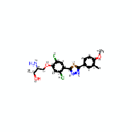 Cc1cc(-c2nnc(-c3cc(F)c(OC[C@H](N)[C@@H](C)O)cc3Cl)s2)ccc1OC(C)C